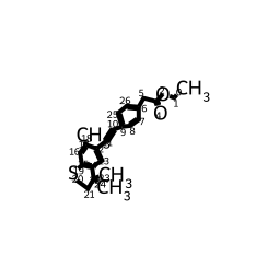 CCOC(=O)Cc1ccc(C#Cc2cc3c(cc2C)SCCC3(C)C)cc1